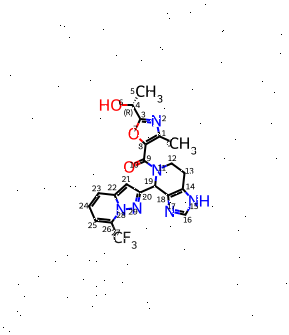 Cc1nc([C@@H](C)O)oc1C(=O)N1CCc2[nH]cnc2C1c1cc2cccc(C(F)(F)F)n2n1